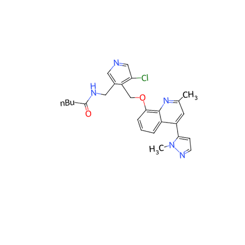 CCCCC(=O)NCc1cncc(Cl)c1COc1cccc2c(-c3ccnn3C)cc(C)nc12